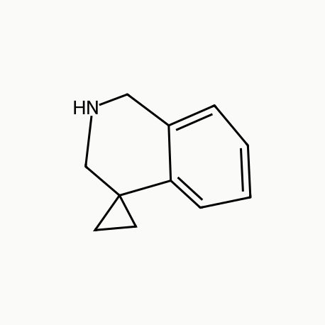 c1ccc2c(c1)CNCC21CC1